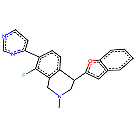 CN1Cc2c(ccc(-c3ccncn3)c2F)C(c2cc3ccccc3o2)C1